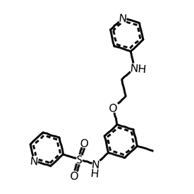 Cc1cc(NS(=O)(=O)c2cccnc2)cc(OCCNc2ccncc2)c1